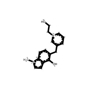 Cn1ccc2c(O)c(Cc3ccc[n+](CCO)c3)ccc21